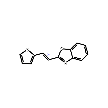 C(=C\c1nc2ccccc2s1)/c1cccs1